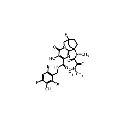 Cc1c(F)cc(Br)c(CNC(=O)c2nc3n(c(=O)c2O)CC2(F)CCC3(N(C)C(=O)C(=O)N(C)C)CC2)c1Br